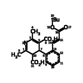 CC1=NC(C)=C(C(=O)O)C(c2ccccc2C=CC(=O)OC(C)(C)C)C1C(=O)O